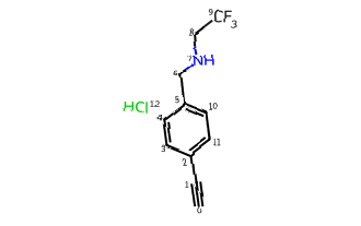 C#Cc1ccc(CNCC(F)(F)F)cc1.Cl